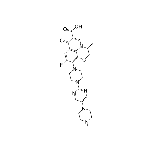 C[C@H]1COc2c(N3CCN(c4ncc(N5CCN(C)CC5)cn4)CC3)c(F)cc3c(=O)c(C(=O)O)cn1c23